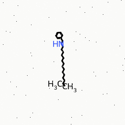 CC(C)CCCCCCCCCCCCCNCc1ccccc1